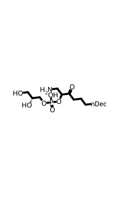 CCCCCCCCCCCCCC(=O)C(CN)OP(=O)(O)OC[C@H](O)CO